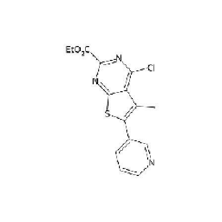 CCOC(=O)c1nc(Cl)c2c(C)c(-c3cccnc3)sc2n1